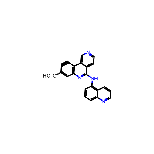 O=C(O)c1c#cc2c(c1)nc(Nc1cccc3ncccc13)c1ccncc12